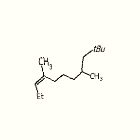 CCC=C(C)CCCC(C)CC(C)(C)C